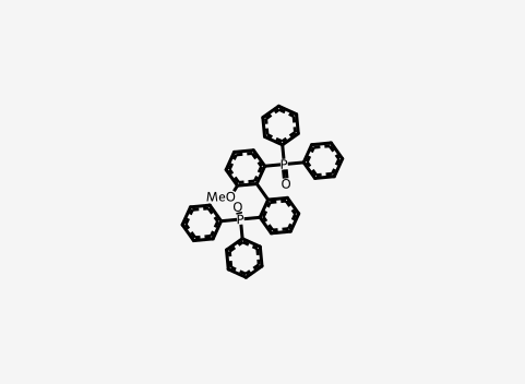 COc1cccc(P(=O)(c2ccccc2)c2ccccc2)c1-c1ccccc1P(=O)(c1ccccc1)c1ccccc1